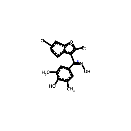 CCc1oc2cc(Cl)ccc2c1/C(=N/O)c1cc(C)c(O)c(C)c1